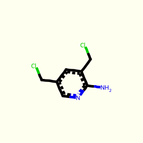 Nc1ncc(CCl)cc1CCl